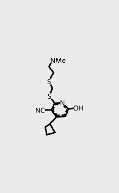 CNCCSCSc1nc(O)cc(C2CCC2)c1C#N